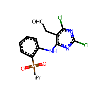 CC(C)S(=O)(=O)c1ccccc1Nc1nc(Cl)nc(Cl)c1CC=O